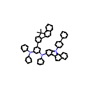 CC1(C)c2ccc(-c3cc(N(c4ccccc4)c4ccccc4)cc(N(c4ccccc4)c4ccc5c(c4)c4ccc6ccccc6c4n5-c4ccc(-c5ccccc5)cc4)c3)cc2-c2ccc3ccccc3c21